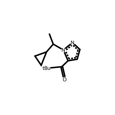 CC(C1CC1)n1nccc1C(=O)C(C)(C)C